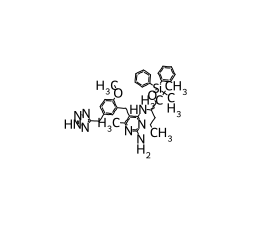 CCCC(CO[Si](c1ccccc1)(c1ccccc1)C(C)(C)C)Nc1nc(N)nc(C)c1Cc1cc(Cc2nn[nH]n2)ccc1OC